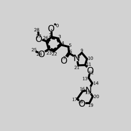 COc1cc(CC(=O)N2CCC(OCCN3CCOCC3)C2)cc(OC)c1OC